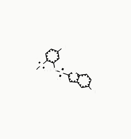 CS(=O)(=O)c1ccc(Cl)cc1NS(=O)(=O)c1cc2cc(Cl)ccc2o1